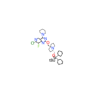 CC(C)(C)[Si](OC[C@@H]1CC[C@]2(COc3nc(N4CCCCC4)c4cnc(Cl)c(F)c4n3)CCCN12)(c1ccccc1)c1ccccc1